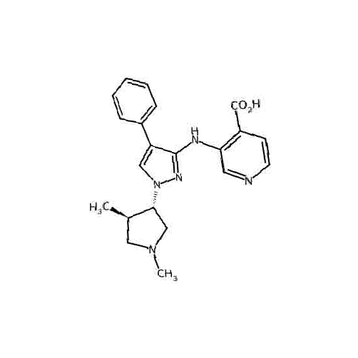 C[C@@H]1CN(C)C[C@H]1n1cc(-c2ccccc2)c(Nc2cnccc2C(=O)O)n1